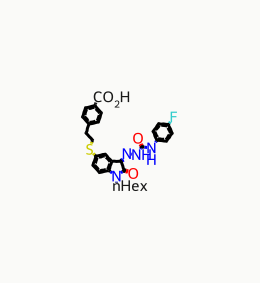 CCCCCCN1C(=O)/C(=N\NC(=O)Nc2ccc(F)cc2)c2cc(SCCc3ccc(C(=O)O)cc3)ccc21